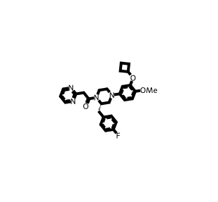 COc1ccc(N2CCN(C(=O)Cc3ncccn3)[C@@H](Cc3ccc(F)cc3)C2)cc1OC1CCC1